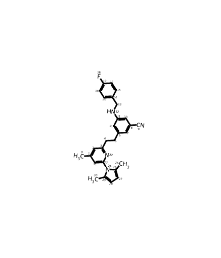 Cc1cc(CCc2cc(C#N)cc(NCc3ccc(F)cc3)c2)nc(-n2c(C)ccc2C)c1